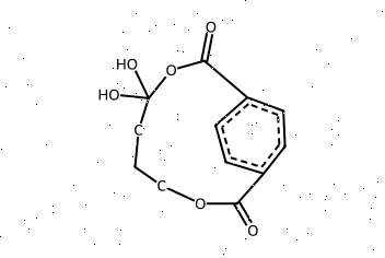 O=C1OCCCC(O)(O)OC(=O)c2ccc1cc2